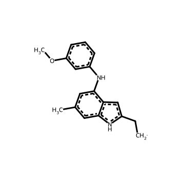 [CH2]Cc1cc2c(Nc3cccc(OC)c3)cc(C)cc2[nH]1